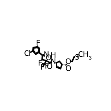 CSCCOC(=O)[C@@H]1C=C[C@H](NC(=O)C2(C(F)(F)F)CC(c3cc(F)cc(Cl)c3)=NO2)C1